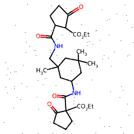 CCOC(=O)C1C(=O)CCC1C(=O)NCC1(C)CC(NC(=O)C2(C(=O)OCC)CCCC2=O)CC(C)(C)C1